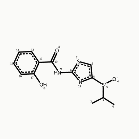 CC(C)[S+]([O-])c1csc(NC(=O)c2ccccc2O)n1